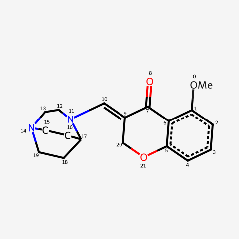 COc1cccc2c1C(=O)/C(=C/N1CCN3CCC1CC3)CO2